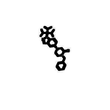 CC(C)[Si](C(C)C)(C(C)C)n1ncc2cc(N3CCN(Cc4ccccc4)C(=O)C3)ccc21